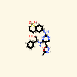 Cc1nnc(-c2cnc(Nc3ccc4c(c3)C=CCS4(=O)=O)nc2N[C@H](CO)c2ccccc2)o1